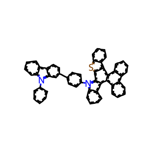 c1ccc(-n2c3ccccc3c3ccc(-c4ccc(-n5c6ccccc6c6c7c8ccccc8c8ccccc8c7c7c8ccccc8sc7c65)cc4)cc32)cc1